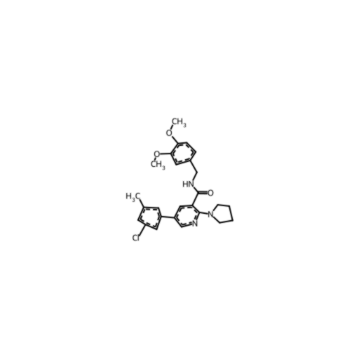 COc1ccc(CNC(=O)c2cc(-c3cc(C)cc(Cl)c3)cnc2N2CCCC2)cc1OC